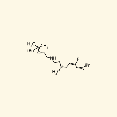 CC(C)/N=C\C(F)=C/CN(C)CCNCCO[Si](C)(C)C(C)(C)C